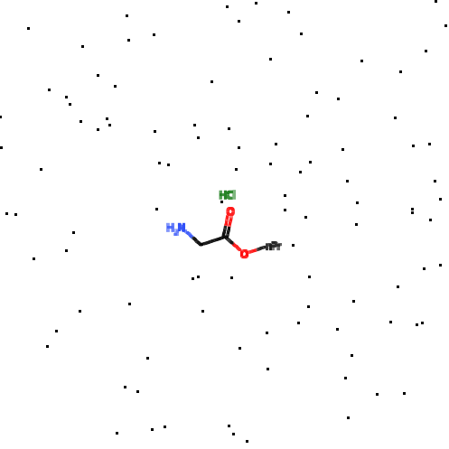 CCCOC(=O)CN.Cl